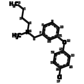 CCCCN(C)Cc1cccc(Oc2ccc(Cl)cc2)c1